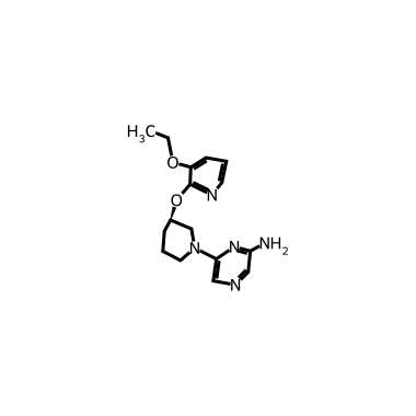 CCOc1cccnc1O[C@@H]1CCCN(c2cncc(N)n2)C1